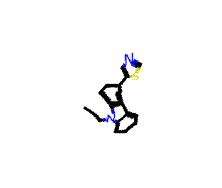 CCn1c2ccccc2c2cc(-c3cncs3)ccc21